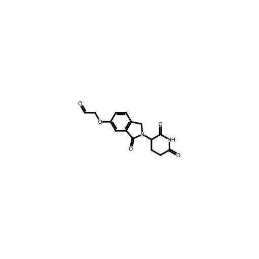 O=CCOc1ccc2c(c1)C(=O)N(C1CCC(=O)NC1=O)C2